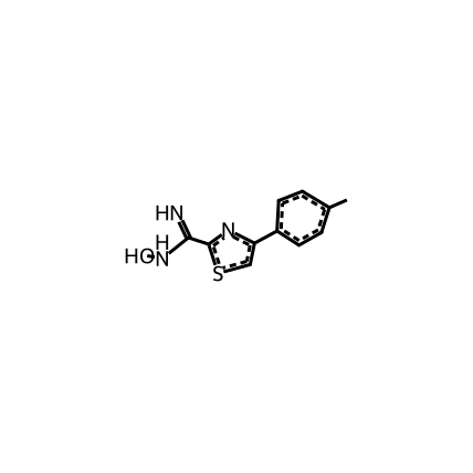 Cc1ccc(-c2csc(C(=N)NO)n2)cc1